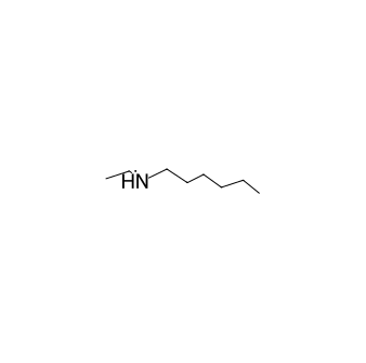 C[CH]NCCCCCC